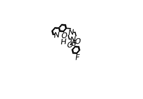 O=S(=O)(c1ccc(F)cc1)N1CCN(Cc2ccc3cccnc3c2O)CC1